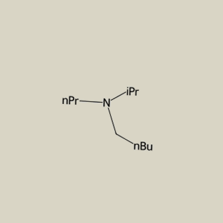 CCCCCN(CCC)C(C)C